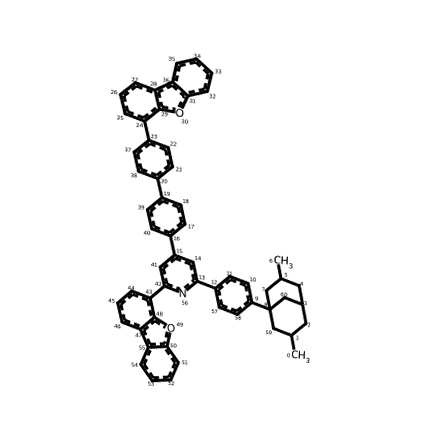 CC1CC2CC(C)CC(c3ccc(-c4cc(-c5ccc(-c6ccc(-c7cccc8c7oc7ccccc78)cc6)cc5)cc(-c5cccc6c5oc5ccccc56)n4)cc3)(C1)C2